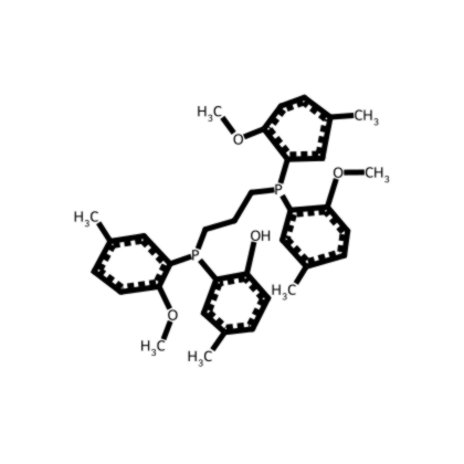 COc1ccc(C)cc1P(CCCP(c1cc(C)ccc1OC)c1cc(C)ccc1OC)c1cc(C)ccc1O